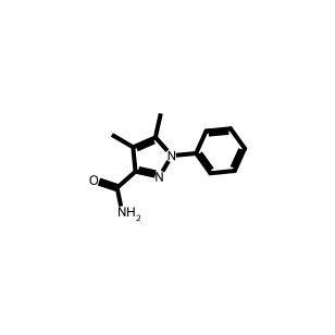 Cc1c(C(N)=O)nn(-c2ccccc2)c1C